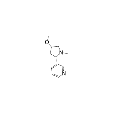 COC1C[C@@H](c2cccnc2)N(C)C1